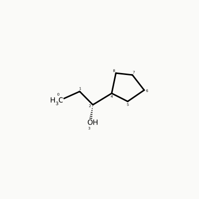 CC[C@@H](O)C1CCCC1